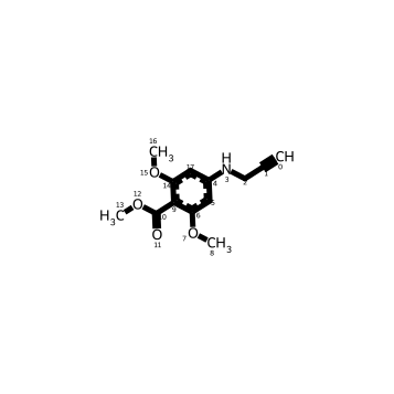 C#CCNc1cc(OC)c(C(=O)OC)c(OC)c1